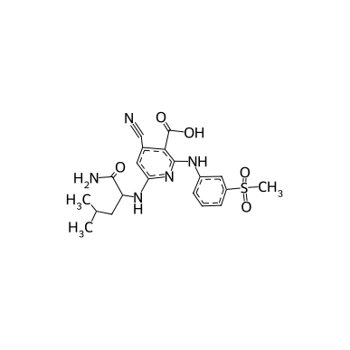 CC(C)CC(Nc1cc(C#N)c(C(=O)O)c(Nc2cccc(S(C)(=O)=O)c2)n1)C(N)=O